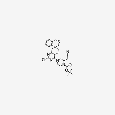 CC(C)(C)OC(=O)N1CCN(c2nc(Cl)nc3c2CCC2(CSCc4ccccc42)C3)CC1CC#N